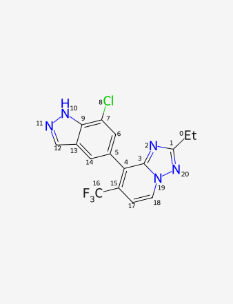 CCc1nc2c(-c3cc(Cl)c4[nH]ncc4c3)c(C(F)(F)F)ccn2n1